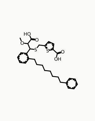 COC(C(=O)O)C(SCc1ccc(C(=O)O)s1)c1ccccc1CCCCCCCCc1ccccc1